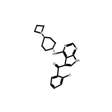 O=C(c1ccccc1Cl)c1c[nH]c2ncnc(N[C@H]3CC[C@H](N4CCC4)CC3)c12